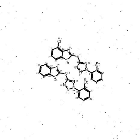 CCc1ccccc1-n1nnc(Sc2nc3c(Cl)cccc3s2)n1.CCc1ccccc1-n1nnc(Sc2nc3ccccc3s2)n1